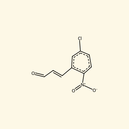 O=CC=Cc1cc(Cl)ccc1[N+](=O)[O-]